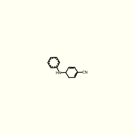 N#CC1=CCC(Nc2ccccc2)C=C1